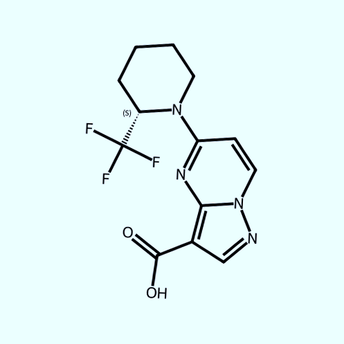 O=C(O)c1cnn2ccc(N3CCCC[C@H]3C(F)(F)F)nc12